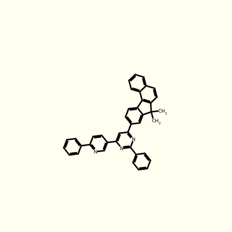 CC1(C)c2cc(-c3cc(-c4ccc(-c5ccccc5)nc4)nc(-c4ccccc4)n3)ccc2-c2c1ccc1ccccc21